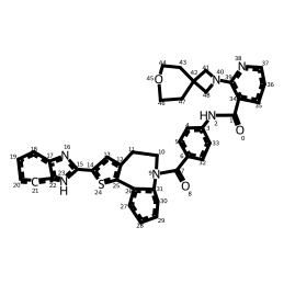 O=C(Nc1ccc(C(=O)N2CCc3cc(-c4nc5ccccc5[nH]4)sc3-c3ccccc32)cc1)c1cccnc1N1CC2(CCOCC2)C1